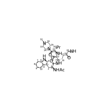 CC(=O)N[C@@H](Cc1c[nH]c2ccccc12)C(=O)N[C@@H](CCC(=O)C=N)C(=O)N[C@H](C(=O)N1CCN(C)CC1)C(C)C